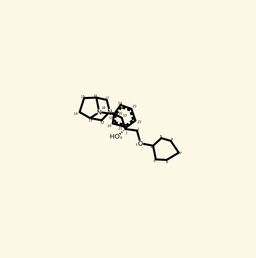 O[C@@H](COC1CCCCC1)CN1CC2CCC(C1)N2c1ccccc1